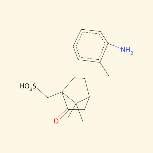 CC1(C)C2CCC1(CS(=O)(=O)O)C(=O)C2.Cc1ccccc1N